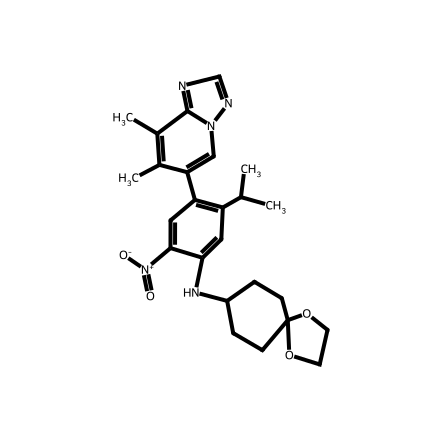 Cc1c(-c2cc([N+](=O)[O-])c(NC3CCC4(CC3)OCCO4)cc2C(C)C)cn2ncnc2c1C